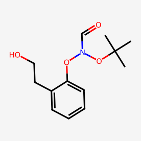 CC(C)(C)ON(C=O)Oc1ccccc1CCO